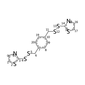 c1csc(SSCc2ccc(CSSc3nccs3)cc2)n1